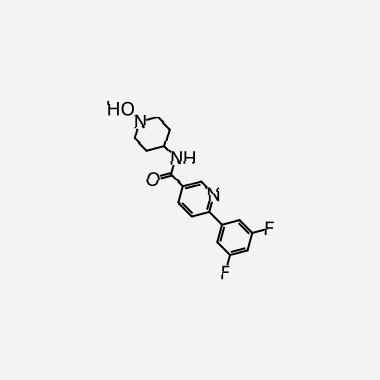 O=C(NC1CCN(O)CC1)c1ccc(-c2cc(F)cc(F)c2)nc1